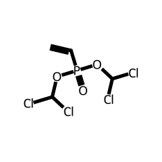 C=CP(=O)(OC(Cl)Cl)OC(Cl)Cl